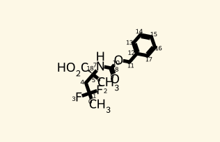 CC(F)(F)C[C@](C)(NC(=O)OCc1ccccc1)C(=O)O